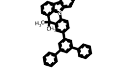 CC1(C)c2cc(-c3cc(-c4ccccc4)cc(-c4ccccc4)c3)ccc2-n2c3ccncc3c3cccc1c32